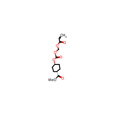 C=CC(=O)OCOC(=O)O[C@H]1CC[C@H](C(=O)OC)CC1